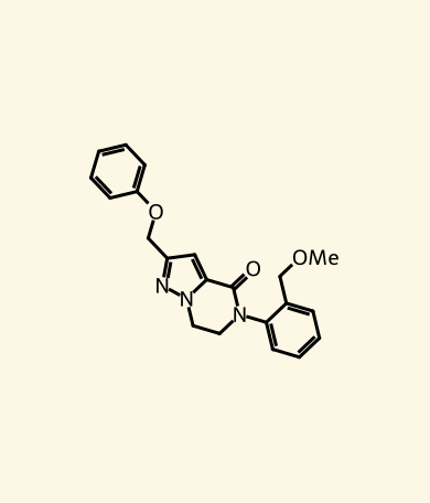 COCc1ccccc1N1CCn2nc(COc3ccccc3)cc2C1=O